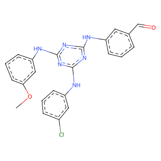 COc1cccc(Nc2nc(Nc3cccc(Cl)c3)nc(Nc3cccc(C=O)c3)n2)c1